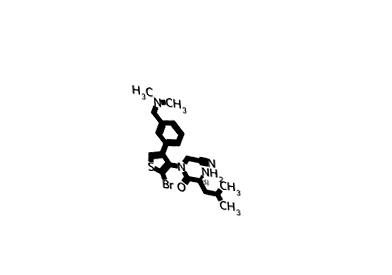 CC(C)C[C@H](N)C(=O)N(CC#N)c1c(-c2cccc(CN(C)C)c2)csc1Br